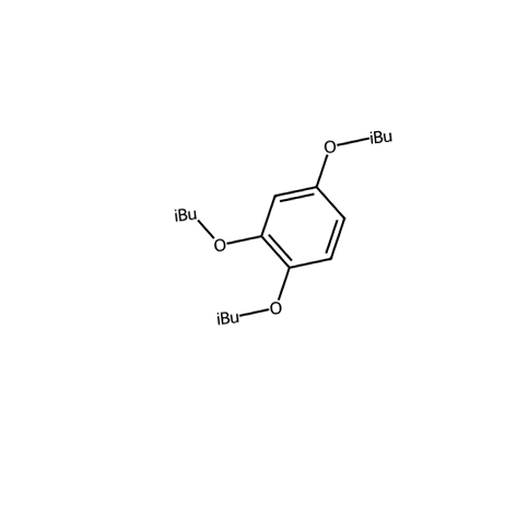 CCC(C)Oc1ccc(OC(C)CC)c(OC(C)CC)c1